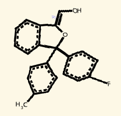 Cc1ccc(C2(c3ccc(F)cc3)O/C(=C\O)c3ccccc32)cc1